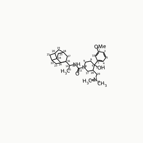 COc1cccc(C2(O)CCN(C(=O)NC(C)C34CC5CC6CC(C3)C6(C5)C4)CC2CN(C)C)c1